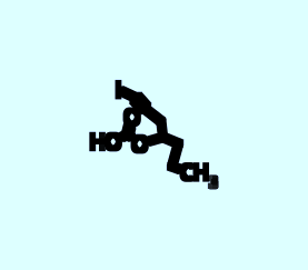 CCCC(CC#CI)OC(=O)O